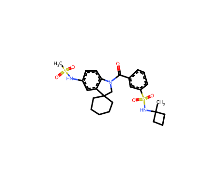 CC1(NS(=O)(=O)c2cccc(C(=O)N3CC4(CCCCC4)c4cc(NS(C)(=O)=O)ccc43)c2)CCC1